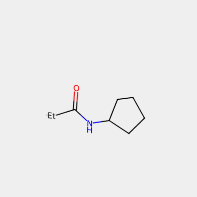 C[CH]C(=O)NC1CCCC1